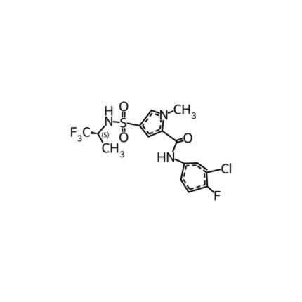 C[C@H](NS(=O)(=O)c1cc(C(=O)Nc2ccc(F)c(Cl)c2)n(C)c1)C(F)(F)F